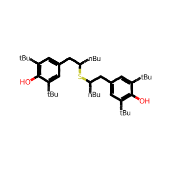 CCCCC(Cc1cc(C(C)(C)C)c(O)c(C(C)(C)C)c1)SC(CCCC)Cc1cc(C(C)(C)C)c(O)c(C(C)(C)C)c1